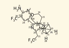 Nc1ncc(-c2cn([C@@]34C5[C@H]3[C@H]4CN5C3CCOCC3)c(CC(F)(F)F)n2)cc1C(F)(F)F